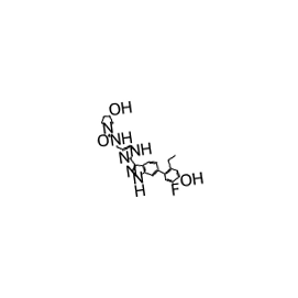 CCc1cc(O)c(F)cc1-c1ccc2c(-c3nc(CNC(=O)N4CCC(O)C4)c[nH]3)n[nH]c2c1